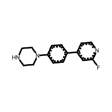 Fc1cc(-c2ccc(N3CCNCC3)cc2)ccn1